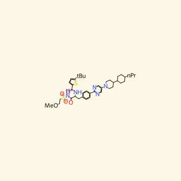 CCCC1CCC(C2CCN(c3cnc(-c4ccc(CC(NC(=O)c5ccc(C(C)(C)C)s5)C(=O)NS(=O)(=O)CCOC)cc4)nc3)CC2)CC1